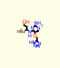 CCCCC(CCO)Nc1nc(N)ncc1OCc1nnn[nH]1